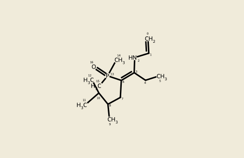 C=CN/C(CC)=C(/CC(C)C(C)C)P(C)(C)=O